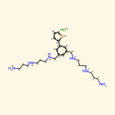 Cl.NCCCNCCCNCc1cc(CNCCCNCCCN)cc(-c2cccs2)c1